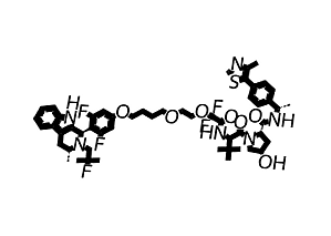 Cc1ncsc1-c1ccc([C@H](C)NC(=O)[C@@H]2C[C@@H](O)CN2C(=O)C(NC(=O)C(F)(F)OCCOCCCCOc2cc(F)c([C@@H]3c4[nH]c5ccccc5c4C[C@@H](C)N3CC(C)(C)F)c(F)c2)C(C)(C)C)cc1